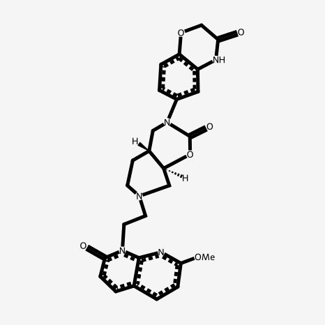 COc1ccc2ccc(=O)n(CCN3CC[C@@H]4CN(c5ccc6c(c5)NC(=O)CO6)C(=O)O[C@H]4C3)c2n1